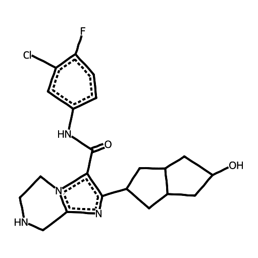 O=C(Nc1ccc(F)c(Cl)c1)c1c(C2CC3CC(O)CC3C2)nc2n1CCNC2